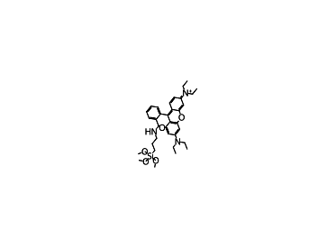 CCN(CC)c1ccc2c(-c3ccccc3C(=O)NCCC[Si](OC)(OC)OC)c3ccc(=[N+](CC)CC)cc-3oc2c1